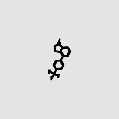 CN1CCc2c(-c3ccc(C(F)(F)F)cc3)cccc21